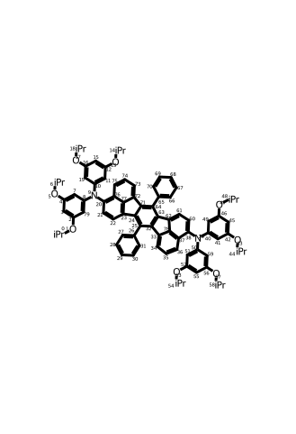 CC(C)Oc1cc(OC(C)C)cc(N(c2cc(OC(C)C)cc(OC(C)C)c2)c2ccc3c4c(-c5ccccc5)c5c6cccc7c(N(c8cc(OC(C)C)cc(OC(C)C)c8)c8cc(OC(C)C)cc(OC(C)C)c8)ccc(c5c(-c5ccccc5)c4c4cccc2c43)c76)c1